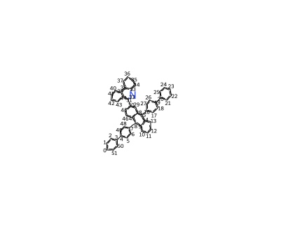 c1ccc(-c2ccc(-c3c4ccccc4c(-c4ccc(-c5ccccc5)cc4)c4cc(-c5nc6ccccc6c6ccccc56)ccc34)cc2)cc1